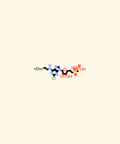 CCCCCCCCCCCCNc1nc(Cl)nc2c1ncn2C1OC(CCP(=O)(O)CP(=O)(O)O)C(O)C1O